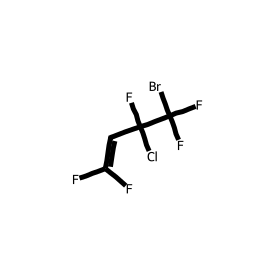 FC(F)=CC(F)(Cl)C(F)(F)Br